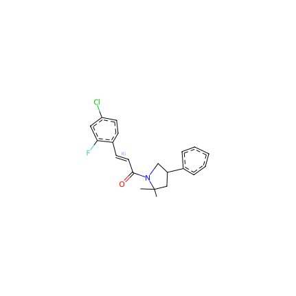 CC1(C)CC(c2ccccc2)CN1C(=O)/C=C/c1ccc(Cl)cc1F